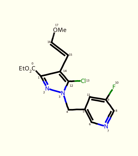 CCOC(=O)c1nn(Cc2cncc(F)c2)c(Cl)c1/C=C/OC